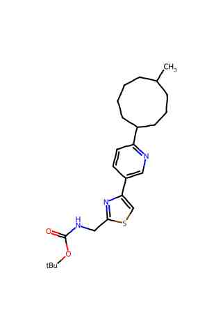 CC1CCCCC(c2ccc(-c3csc(CNC(=O)OC(C)(C)C)n3)cn2)CCC1